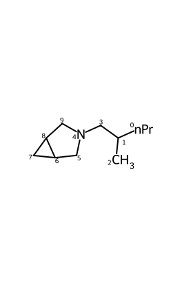 CCCC(C)CN1CC2CC2C1